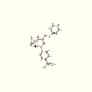 O=[N+]([O-])c1ccc(C2CC(CCc3ccccc3)OS(=O)(=O)N2)cc1